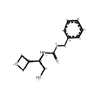 O=C(NC(CO)C1COC1)OCc1ccccc1